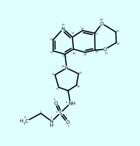 CCNS(=O)(=O)NC1CCN(c2ccnc3cc4c(cc23)OCCO4)CC1